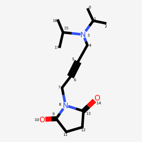 CC(C)N(CC#CCN1C(=O)CCC1=O)C(C)C